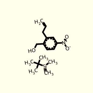 C=CCc1cc([N+](=O)[O-])ccc1CO.C[SiH](C)C(C)(C)C